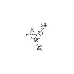 COP(=O)(COc1ccc(Cn2c(COC(N)=O)nc(C(C)C)c2Sc2cc(Cl)cc(Cl)c2)cn1)OC